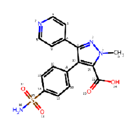 Cn1nc(-c2ccncc2)c(-c2ccc(S(N)(=O)=O)cc2)c1C(=O)O